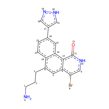 NCCCc1cc2c(Br)c[nH]c(=O)c2c2cc(-c3cn[nH]c3)ccc12